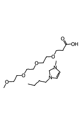 CCCCN1C=CN(C)C1.COCCOCCOCCOCCC(=O)O